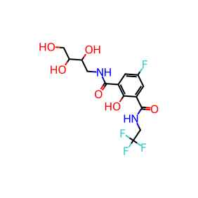 O=C(NCC(O)C(O)CO)c1cc(F)cc(C(=O)NCC(F)(F)F)c1O